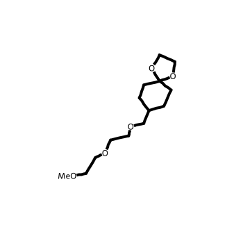 COCCOCCOCC1CCC2(CC1)OCCO2